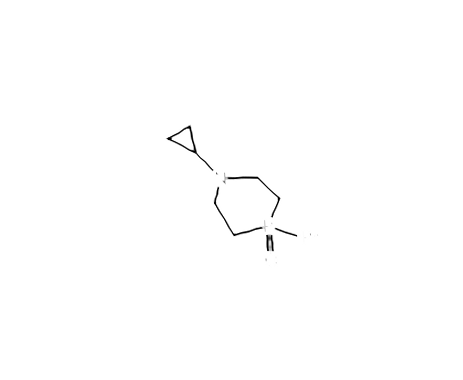 CC(C)P1(=O)CCN(C2CC2)CC1